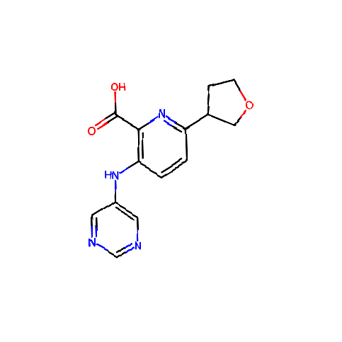 O=C(O)c1nc(C2CCOC2)ccc1Nc1cncnc1